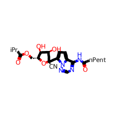 CCCCCC(=O)Nc1ncnn2c([C@]3(C#N)O[C@H](COC(=O)C(C)C)[C@@H](O)[C@H]3O)ccc12